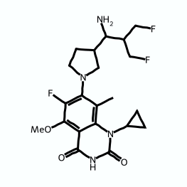 COc1c(F)c(N2CCC(C(N)C(CF)CF)C2)c(C)c2c1c(=O)[nH]c(=O)n2C1CC1